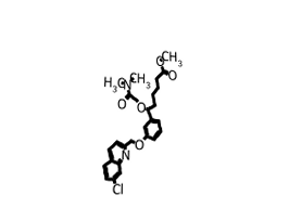 COC(=O)CCCCC(OCC(=O)N(C)C)c1cccc(OCc2ccc3ccc(Cl)cc3n2)c1